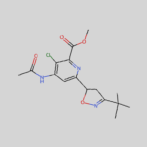 COC(=O)c1nc(C2CC(C(C)(C)C)=NO2)cc(NC(C)=O)c1Cl